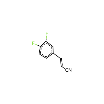 N#C/C=C/c1ccc(F)c(F)c1